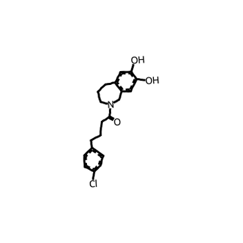 O=C(CCCc1ccc(Cl)cc1)N1CCCc2cc(O)c(O)cc2C1